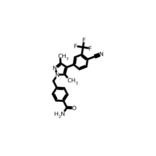 Cc1nn(Cc2ccc(C(N)=O)cc2)c(C)c1-c1ccc(C#N)c(C(F)(F)F)c1